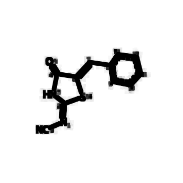 N#C/N=C1\NC(=O)/C(=C/c2ccccc2)S1